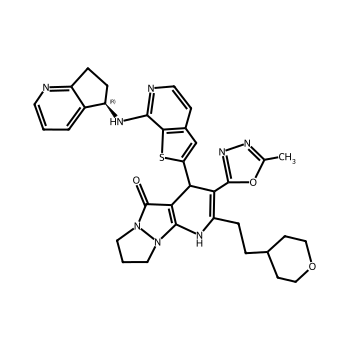 Cc1nnc(C2=C(CCC3CCOCC3)Nc3c(c(=O)n4n3CCC4)C2c2cc3ccnc(N[C@@H]4CCc5ncccc54)c3s2)o1